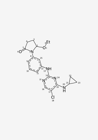 CCOC1CCC(=O)N1c1cccc(Nc2ncc(Cl)c(NC3CC3)n2)c1